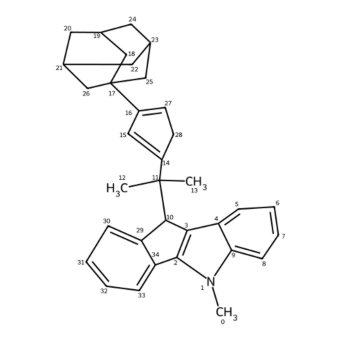 Cn1c2c(c3ccccc31)C(C(C)(C)C1=CC(C34CC5CC(CC(C5)C3)C4)=CC1)c1ccccc1-2